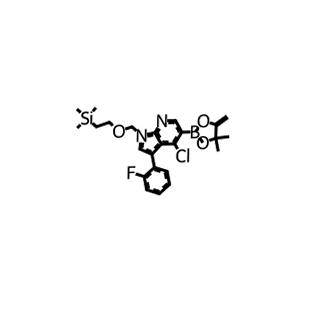 C=C1OB(c2cnc3c(c(-c4ccccc4F)cn3COCC[Si](C)(C)C)c2Cl)OC1(C)C